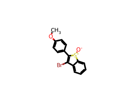 COc1ccc(-c2c(Br)c3ccccc3[s+]2[O-])cc1